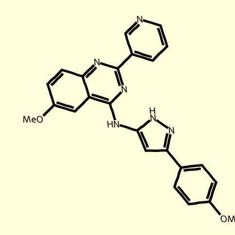 COc1ccc(-c2cc(Nc3nc(-c4cccnc4)nc4ccc(OC)cc34)[nH]n2)cc1